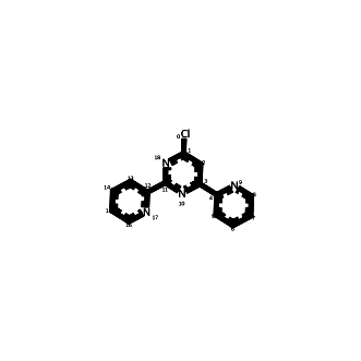 Clc1cc(-c2ccccn2)nc(-c2ccccn2)n1